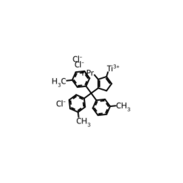 CCCC1=C(C(c2cccc(C)c2)(c2cccc(C)c2)c2cccc(C)c2)CC=[C]1[Ti+3].[Cl-].[Cl-].[Cl-]